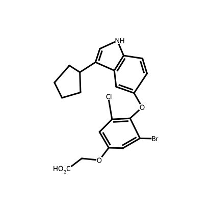 O=C(O)COc1cc(Cl)c(Oc2ccc3[nH]cc(C4CCCC4)c3c2)c(Br)c1